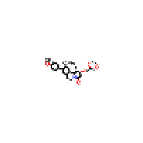 COc1cc2c(cc1-c1ccc(OC(F)(F)F)cc1)CCn1c-2c(C)c(OCC2COCCO2)cc1=O